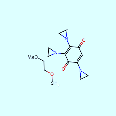 COCCO[SiH3].O=C1C=C(N2CC2)C(=O)C(N2CC2)=C1N1CC1